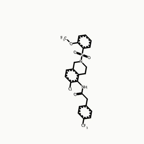 O=C(Cc1ccc(C(F)(F)F)cc1)Nc1c(Cl)ccc2c1CCN(S(=O)(=O)c1ccccc1OC(F)(F)F)C2